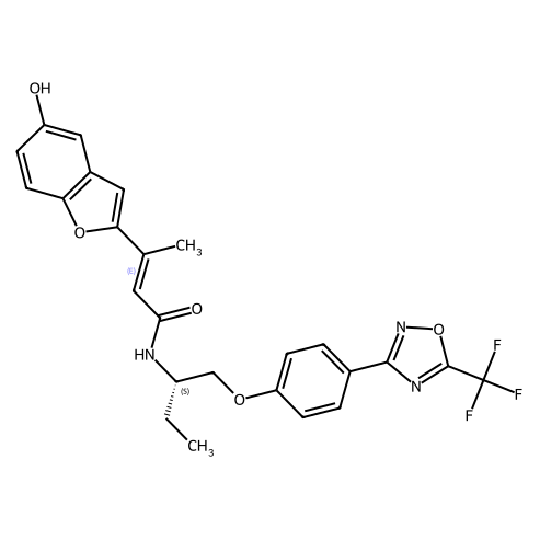 CC[C@@H](COc1ccc(-c2noc(C(F)(F)F)n2)cc1)NC(=O)/C=C(\C)c1cc2cc(O)ccc2o1